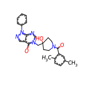 Cc1ccc(C)c(C(=O)N2CCC(O)(Cn3cnc4c(cnn4-c4ccccc4)c3=O)CC2)c1